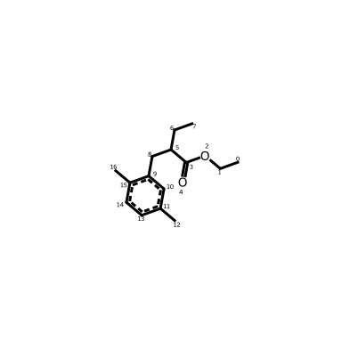 CCOC(=O)C(CC)Cc1cc(C)ccc1C